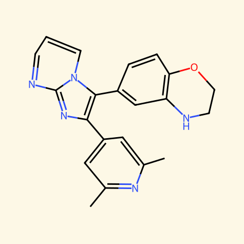 Cc1cc(-c2nc3ncccn3c2-c2ccc3c(c2)NCCO3)cc(C)n1